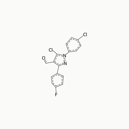 O=Cc1c(-c2ccc(F)cc2)nn(-c2ccc(Cl)cc2)c1Cl